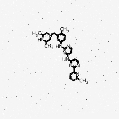 Cc1cccc(-c2nccc(Nc3ccnc(Nc4ccc(C)c(CN5CC(C)NC(C)C5)c4)n3)n2)n1